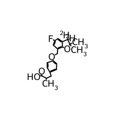 [2H]C1([2H])c2cc(F)cc(COc3ccc(CC(C)C(=O)O)cc3)c2OC1(C)C